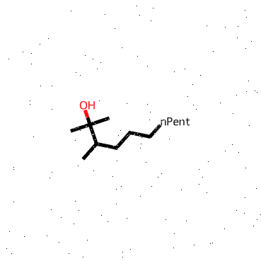 CCCCCCCCC(C)C(C)(C)O